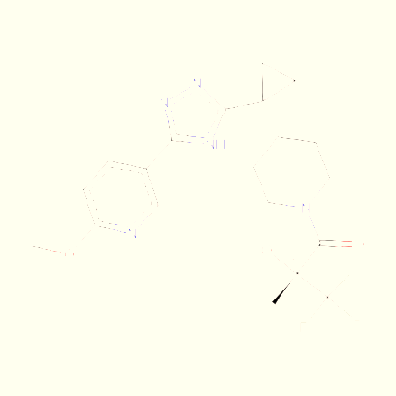 COc1ccc(-c2nnc(C3([C@H]4CCN(C(=O)[C@@](C)(O)C(F)(F)F)C[C@H]4C)CC3)[nH]2)cn1